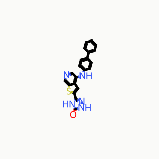 O=c1[nH]nc(-c2cc3c(Nc4ccc(-c5ccccc5)cc4)cncc3s2)[nH]1